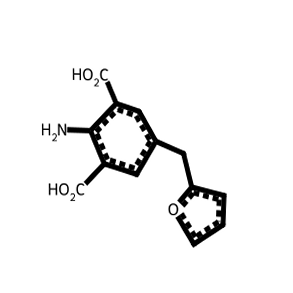 Nc1c(C(=O)O)cc(Cc2ccco2)cc1C(=O)O